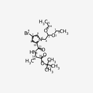 CCOC(Cn1cc(Br)cc1C(=O)N[C@@H](C)C(=O)OC(C)(C)C)OCC